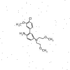 COCCN(CCOC)c1ccc(N)c(-c2ccc(Cl)c(OC)c2)c1